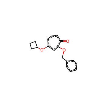 O=c1cccc(OC2CCC2)cc1OCc1ccccc1